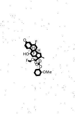 CO[C@@H]1CCCC[C@H]1OC(=O)O[C@@]1(C(=O)OCF)[C@H](C)C[C@H]2[C@@H]3C[C@H](F)C4=CC(=O)C=C[C@]4(C)C3(F)[C@@H](O)C[C@@]21C